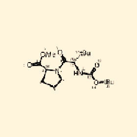 COC(=O)[C@@H]1CCCN1C(=O)[C@@H](NC(=O)OC(C)(C)C)C(C)(C)C